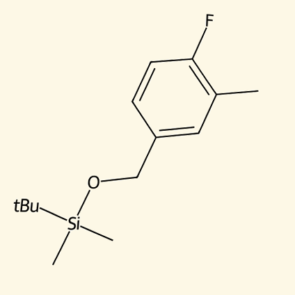 Cc1cc(CO[Si](C)(C)C(C)(C)C)ccc1F